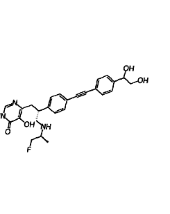 C[C@@H](CF)NC[C@H](Cc1nc[nH]c(=O)c1O)c1ccc(C#Cc2ccc(C(O)CO)cc2)cc1